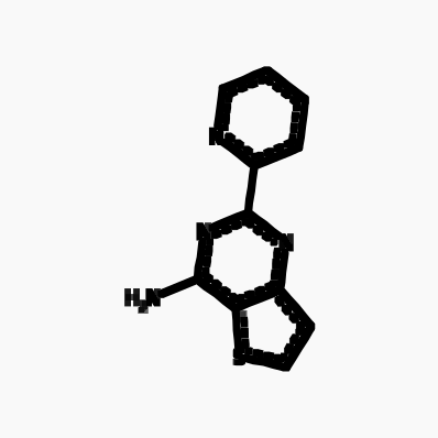 Nc1nc(-c2ccccn2)nc2ccsc12